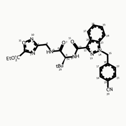 CCOC(=O)c1nc(CNC(=O)[C@@H](NC(=O)c2nn(Cc3ccc(C#N)cc3)c3ccccc23)C(C)(C)C)no1